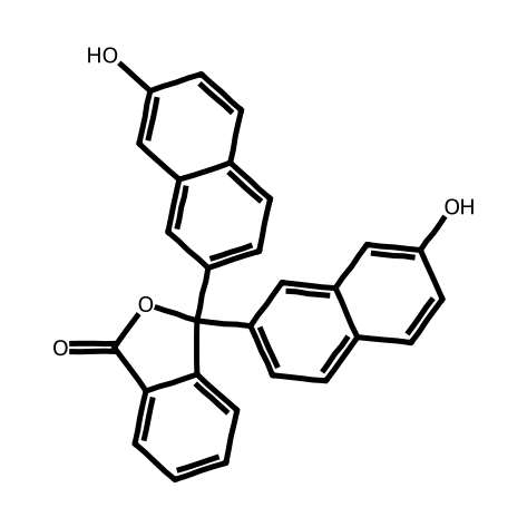 O=C1OC(c2ccc3ccc(O)cc3c2)(c2ccc3ccc(O)cc3c2)c2ccccc21